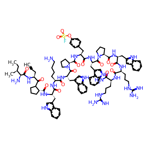 C#CC[C@H](NC(=O)[C@@H](N)[C@@H](C)CC)C(=O)C1CCC[C@H]1C(=O)N[C@@H](Cc1c[nH]c2ccccc12)C(=O)N[C@@H](CCCCN)C(=O)N[C@@H](Cc1c[nH]c2ccccc12)C(=O)N1CCC[C@H]1C(=O)N[C@@H](Cc1ccc(OS(=O)(=O)F)cc1)C(=O)N[C@@H](Cc1c[nH]c2ccccc12)C(=O)N1CCC[C@H]1C(=O)N[C@@H](Cc1cc2ccccc2[nH]1)C(=O)N[C@@H](CCCNC(=N)N)C(=O)N[C@@H](CCCNC(=N)N)C(N)=O